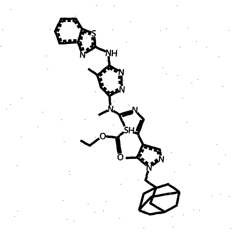 CCOC(=O)[SH]1C(c2cnn(CC34CC5CC(CC(C5)C3)C4)c2C)=CN=C1N(C)c1cc(C)c(Nc2nc3ccccc3s2)nn1